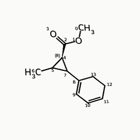 COC(=O)[C@@H]1C(C)C1C1=CC=CCC1